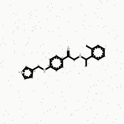 Cc1ccccc1C(C)OCC(=O)c1ccc(OCc2ccsc2)cc1